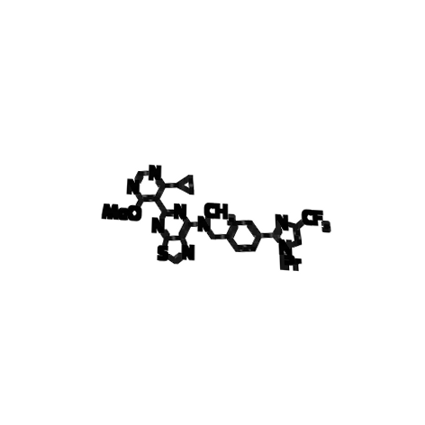 COc1ncnc(C2CC2)c1-c1nc(N(C)Cc2ccc(-c3nc(C(F)(F)F)cn3C(C)C)cc2)c2ncsc2n1